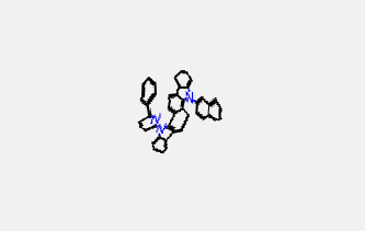 c1ccc(-c2cccc(-n3c4ccccc4c4ccc5c(ccc6c7ccccc7n(-c7ccc8ccccc8c7)c65)c43)n2)cc1